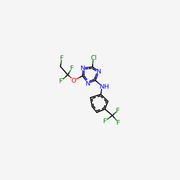 FCC(F)(F)Oc1nc(Cl)nc(Nc2cccc(C(F)(F)F)c2)n1